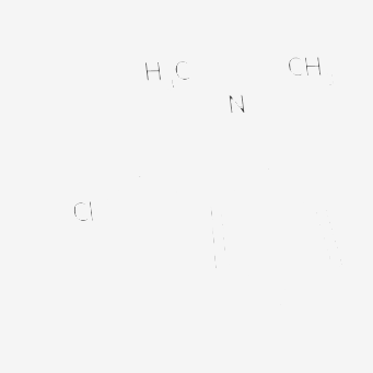 CN(C)c1ccccc1CCl